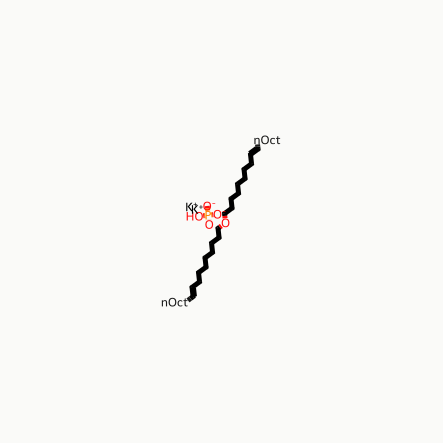 CCCCCCCCC=CCCCCCCCCOCCCCCCCCC=CCCCCCCCC.O=P([O-])([O-])O.[K+].[K+]